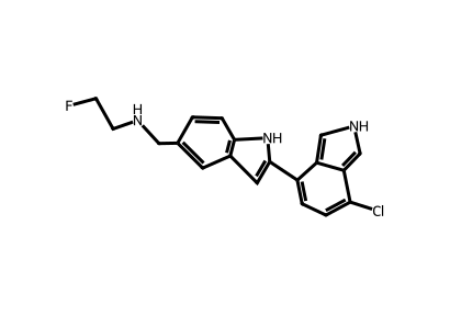 FCCNCc1ccc2[nH]c(-c3ccc(Cl)c4c[nH]cc34)cc2c1